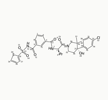 CC(C)[C@@H](NC(=O)c1cccc(C(=O)NS(=O)(=O)c2cccs2)c1)C(=O)N1CC[C@](O)(c2ccc(Cl)cc2)C(C)(C)C1